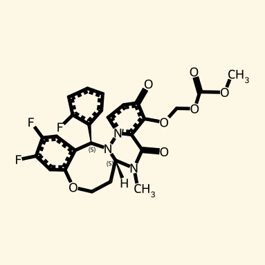 COC(=O)OCOc1c2n(ccc1=O)N1[C@H](c3ccccc3F)c3cc(F)c(F)cc3OCC[C@H]1N(C)C2=O